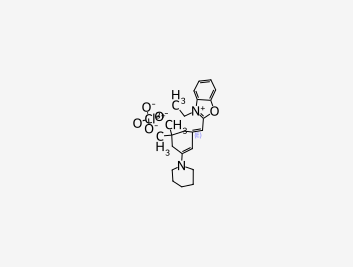 CC[n+]1c(/C=C2/C=C(N3CCCCC3)CC(C)(C)C2)oc2ccccc21.[O-][Cl+3]([O-])([O-])[O-]